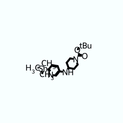 CC(C)(C)OC(=O)N1CCC(Nc2cc[c]([Sn]([CH3])([CH3])[CH3])nc2)CC1